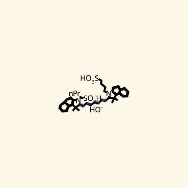 CCCC(N1\C(=C/C=C/C=C/C=C/C2=[N+](CCCCS(=O)(=O)O)c3ccc4ccccc4c3C2(C)C)C(C)(C)c2c1ccc1ccccc21)S(=O)(=O)O.[OH-]